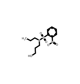 CCCN(CCCO)S(=O)(=O)c1ccccc1[N+](=O)[O-]